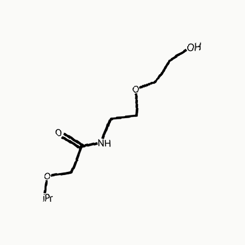 CC(C)OCC(=O)NCCOCCO